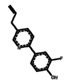 C=CCc1ccc(-c2ccc(O)c(F)c2)nc1